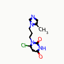 Cc1cncn1CCCn1c(Cl)cc(=O)[nH]c1=O